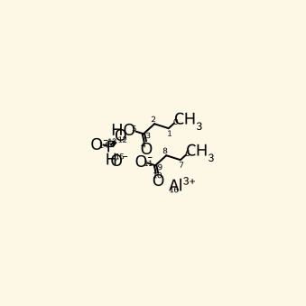 CCCC(=O)O.CCCC(=O)[O-].O=[PH]([O-])[O-].[Al+3]